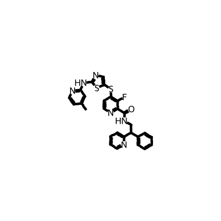 Cc1ccnc(Nc2ncc(Sc3ccnc(C(=O)NCC(c4ccccc4)c4ccccn4)c3F)s2)c1